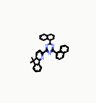 CC1(C)c2ccccc2-c2nc(-c3nc(-c4cccc5ccccc45)nc(-c4cccc5ccccc45)n3)ccc21